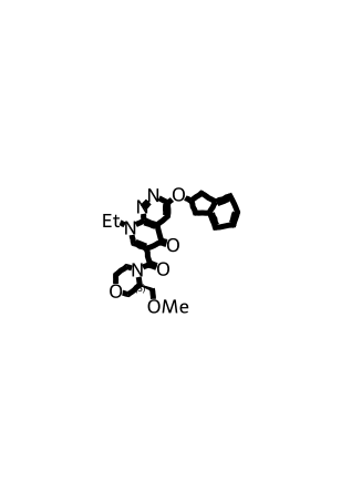 CCn1cc(C(=O)N2CCOC[C@@H]2COC)c(=O)c2cc(OC3Cc4ccccc4C3)nnc21